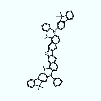 CC(C)c1c(N(c2ccccc2)c2ccc3c(c2)C(C)(C)c2ccccc2-3)ccc2cc3c(cc12)oc1cc2c(C(C)C)c(N(c4ccccc4)c4ccc5c(c4)C(C)(C)c4ccccc4-5)ccc2cc13